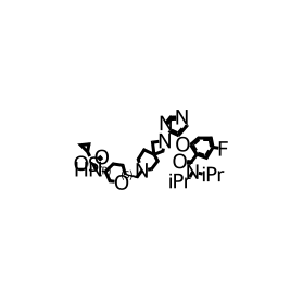 CC(C)N(C(=O)c1cc(F)ccc1Oc1cncnc1N1CC2(CCN(C[C@@H]3CC[C@@H](NS(=O)(=O)C4CC4)CO3)CC2)C1)C(C)C